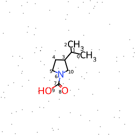 CC(C)C1CCN(C(=O)O)C1